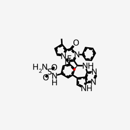 Cc1ccn2nc([C@H](C)Nc3ncnc4[nH]cc(-c5cc(F)cc(NS(N)(=O)=O)c5)c34)n(-c3ccccc3)c(=O)c12